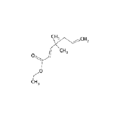 C=CCC(C)(C)C=CC(=O)OCC